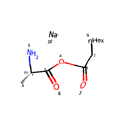 CCCCCCCC(=O)OC(=O)[C@H](C)N.[Na]